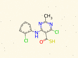 Cc1nc(Cl)c(C(=O)S)c(Nc2ccccc2Cl)n1